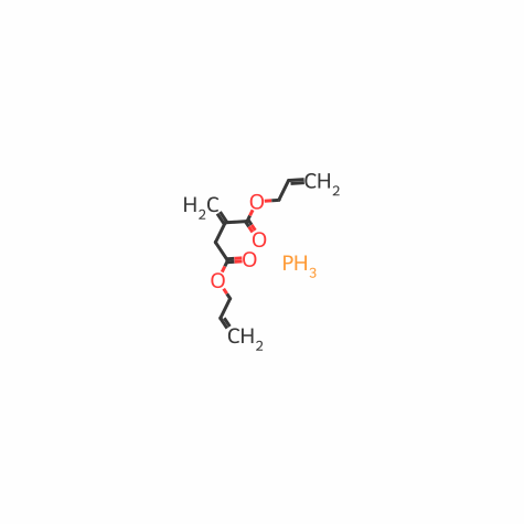 C=CCOC(=O)CC(=C)C(=O)OCC=C.P